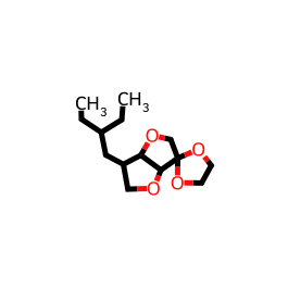 CCC(CC)CC1COC2C1OCC21OCCO1